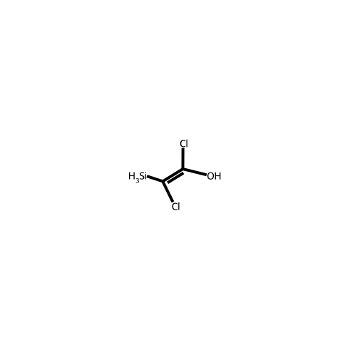 OC(Cl)=C([SiH3])Cl